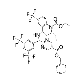 CCOC(=O)N1c2ccc(C(F)(F)F)cc2[C@@H](NC(c2cc(C(F)(F)F)cc(C(F)(F)F)c2)c2ncc(C(=O)OCc3ccccc3)cn2)C[C@H]1CC